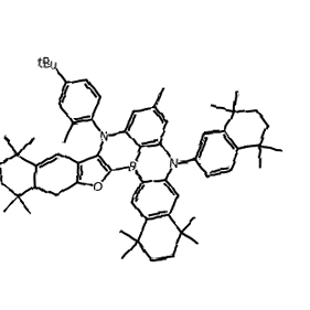 Cc1cc2c3c(c1)N(c1ccc(C(C)(C)C)cc1C)c1c(oc4c1C=C1C(C4)C(C)(C)CCC1(C)C)B3c1cc3c(cc1N2c1ccc2c(c1)C(C)(C)CCC2(C)C)C(C)(C)CCC3(C)C